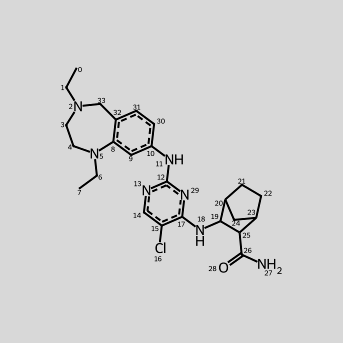 CCN1CCN(CC)c2cc(Nc3ncc(Cl)c(NC4C5CCC(C5)C4C(N)=O)n3)ccc2C1